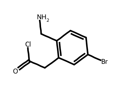 NCc1ccc(Br)cc1CC(=O)Cl